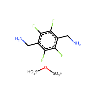 NCc1c(F)c(F)c(CN)c(F)c1F.O=S(=O)(O)OS(=O)(=O)O